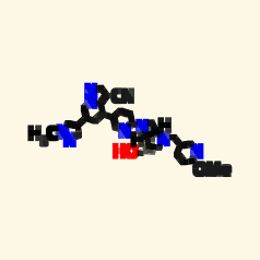 COc1ccc(CN2C[C@H](CO)[C@H]3[C@@H]2CN3c2ccc(-c3cc(-c4cnn(C)c4)cn4ncc(C#N)c34)cn2)cn1